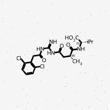 CC(C)[C@H](NC(=O)[C@H](C)CC(=O)NC(=N)NC(=O)Cc1c(Cl)cccc1Cl)C(=O)O